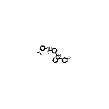 COc1cccc(-c2nc(-c3cccc(C(=O)Nc4cccc(N(C)C)c4)c3)n3ccccc23)c1